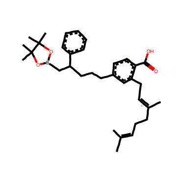 CC(C)=CCC/C(C)=C/Cc1cc(CCCC(CB2OC(C)(C)C(C)(C)O2)c2ccccc2)ccc1C(=O)O